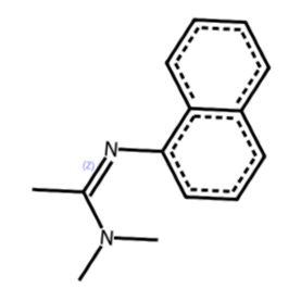 C/C(=N/c1cccc2ccccc12)N(C)C